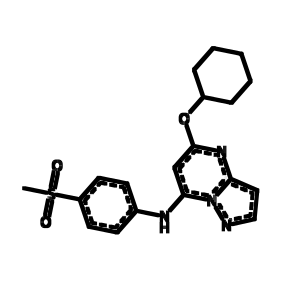 CS(=O)(=O)c1ccc(Nc2cc(OC3CCCCC3)nc3ccnn23)cc1